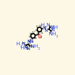 Nc1n[nH]c(N)c1N=Nc1cccc(C(=O)c2cccc(N=Nc3c(N)n[nH]c3N)c2)c1